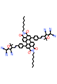 CCCCCCCCN1C(=O)c2ccc3c4c(-c5ccc(/C=C/C6=C(C#N)C(=C(C#N)C#N)OC6(C)C)cc5)cc5c6c(ccc(c7c(-c8ccc(/C=C/C9=C(C#N)C(=C(C#N)C#N)OC9(C)C)cc8)cc(c2c37)C1=O)c64)C(=O)N(CCCCCCCC)C5=O